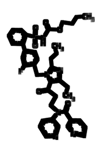 CCCCOC(=O)NS(=O)(=O)c1ccccc1-c1ccc(Cn2c(CCC)nc(CC)c2C(=O)CCN(C(=O)c2cccnc2)c2cccnc2)c(F)c1